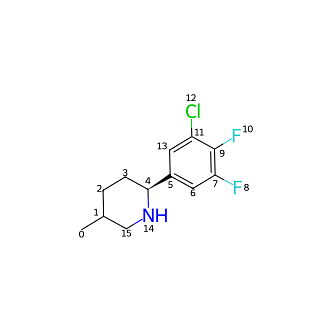 CC1CC[C@@H](c2cc(F)c(F)c(Cl)c2)NC1